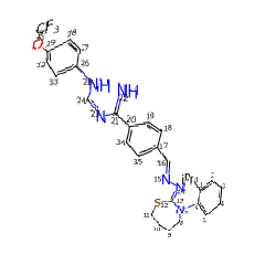 CC(C)c1ccccc1N1CCCCS/C1=N\N=C\c1ccc(C(=N)/N=C\Nc2ccc(OC(F)(F)F)cc2)cc1